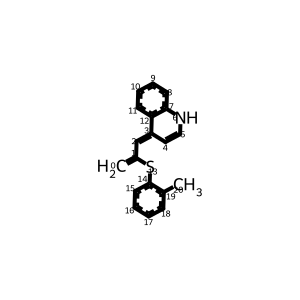 C=C(C=C1C=CNc2ccccc21)Sc1ccccc1C